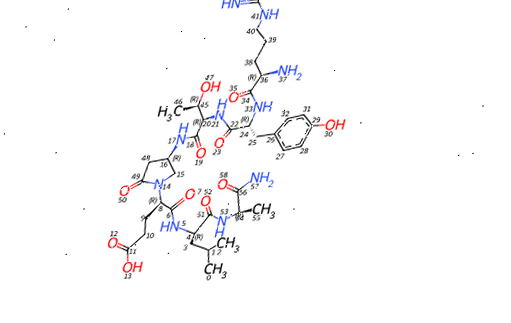 CC(C)C[C@@H](NC(=O)[C@@H](CCC(=O)O)N1C[C@H](NC(=O)[C@H](NC(=O)[C@@H](Cc2ccc(O)cc2)NC(=O)[C@H](N)CCCNC(=N)N)[C@@H](C)O)CC1=O)C(=O)N[C@H](C)C(N)=O